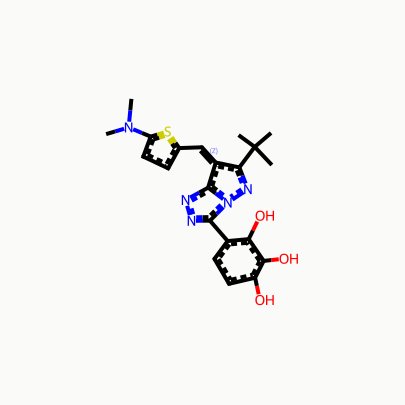 CN(C)c1ccc(/C=c2/c(C(C)(C)C)nn3c(-c4ccc(O)c(O)c4O)nnc23)s1